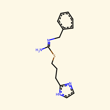 NC(=NCc1ccccc1)SCCCc1ncc[nH]1